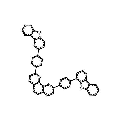 c1ccc2c(c1)oc1ccc(-c3ccc(-c4ccc5ccc6ccc(-c7ccc(-c8cccc9c8oc8ccccc89)cc7)nc6c5n4)cc3)cc12